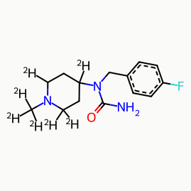 [2H]C1CC([2H])(N(Cc2ccc(F)cc2)C(N)=O)CC([2H])([2H])N1C([2H])([2H])[2H]